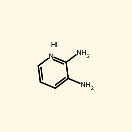 I.Nc1cccnc1N